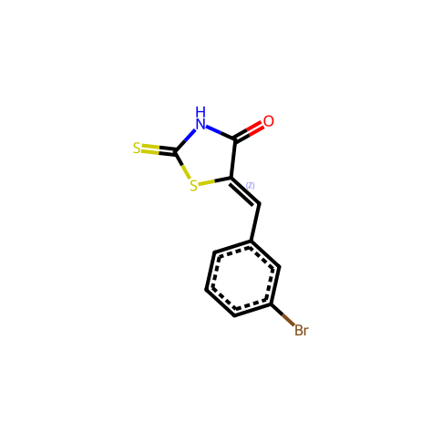 O=C1NC(=S)S/C1=C\c1cccc(Br)c1